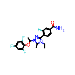 CCN1C(c2ccc(C(N)=O)cc2F)=NN(C(C)Oc2c(F)cc(F)cc2F)C1C